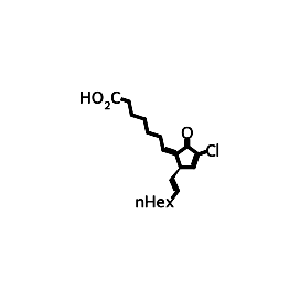 CCCCCC/C=C/[C@@H]1C=C(Cl)C(=O)/C1=C\CCCCCC(=O)O